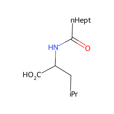 CCCCCCCC(=O)NC(CC(C)C)C(=O)O